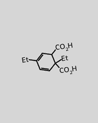 CCC1=CC(C(=O)O)C(CC)(C(=O)O)C=C1